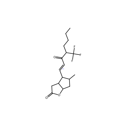 CCCCC(C(=O)/C=C/C1C(C)CC2OC(=O)CC21)C(F)(F)F